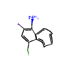 Nc1c(I)cc(F)c2ccccc12